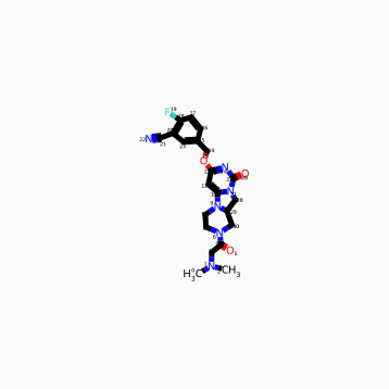 CN(C)CC(=O)N1CCN2c3cc(OCc4ccc(F)c(C#N)c4)nc(=O)n3CC2C1